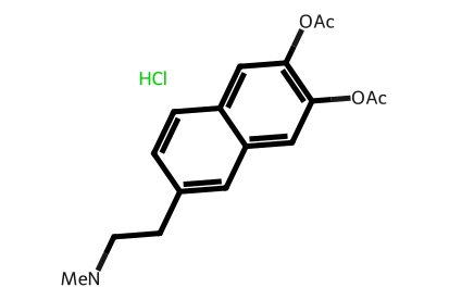 CNCCc1ccc2cc(OC(C)=O)c(OC(C)=O)cc2c1.Cl